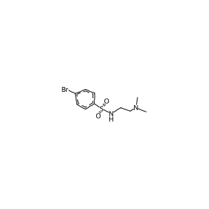 CN(C)CCNS(=O)(=O)c1ccc(Br)cc1